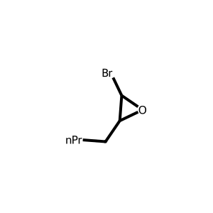 CCCCC1OC1Br